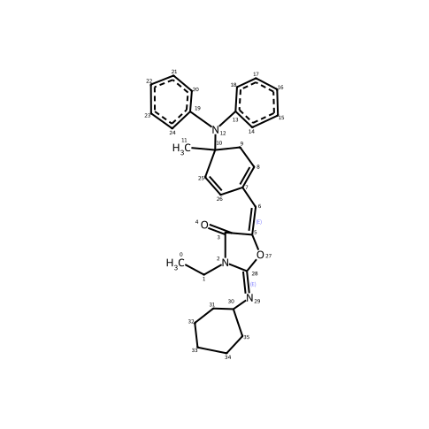 CCN1C(=O)/C(=C\C2=CCC(C)(N(c3ccccc3)c3ccccc3)C=C2)O/C1=N/C1CCCCC1